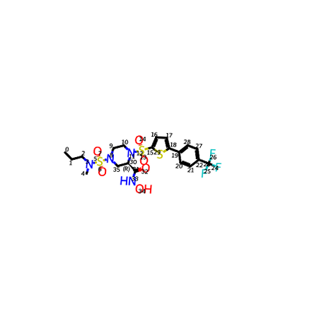 CCCN(C)S(=O)(=O)N1CCN(S(=O)(=O)c2ccc(-c3ccc(C(F)(F)F)cc3)s2)[C@@H](C(=O)NO)C1